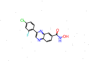 O=C(NO)c1ccc2ncc(-c3ccc(Cl)cc3F)nc2c1